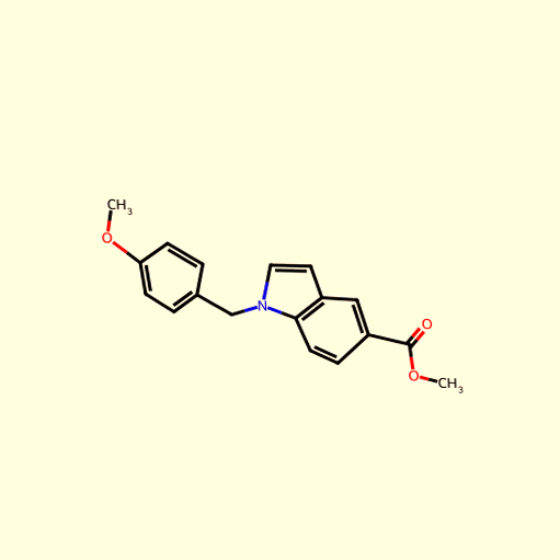 COC(=O)c1ccc2c(ccn2Cc2ccc(OC)cc2)c1